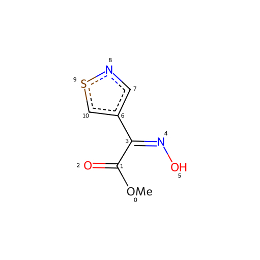 COC(=O)C(=NO)c1cnsc1